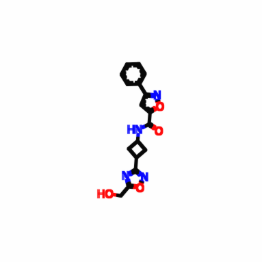 O=C(NC1CC(c2noc(CO)n2)C1)c1cc(-c2ccccc2)no1